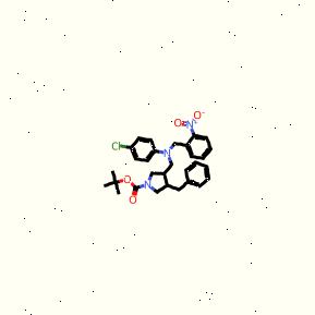 CC(C)(C)OC(=O)N1CC(Cc2ccccc2)C(CN(Cc2ccccc2[N+](=O)[O-])c2ccc(Cl)cc2)C1